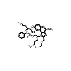 CCCC[C@@H](CO[P@](=O)(N[C@@H](C)C(=O)OCC)Oc1ccccc1)n1c(COCC)nc2c(N)nc3ccccc3c21